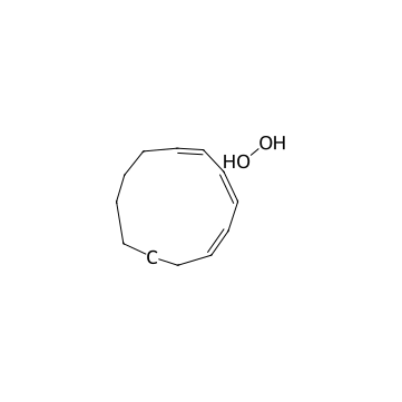 C1=CC=CCCCCCCC=C1.OO